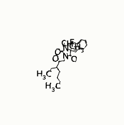 CCCCC(CC)C(=O)CN1C(=O)N(C)C(C)(Cc2ccccc2F)C1=O